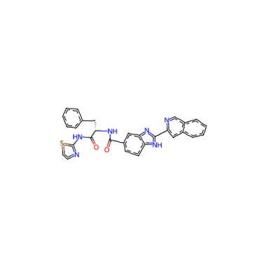 O=C(N[C@@H](Cc1ccccc1)C(=O)Nc1nccs1)c1ccc2[nH]c(-c3cc4ccccc4cn3)nc2c1